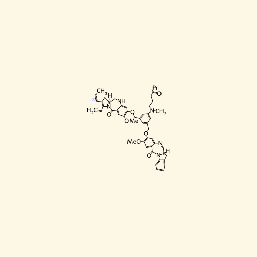 C=CC1=C(/C=C\C)C[C@H]2CNc3cc(OCc4cc(COc5cc6c(cc5OC)C(=O)N5c7ccccc7C[C@H]5C=N6)cc(N(C)CCCC(=O)C(C)C)c4)c(OC)cc3C(=O)N12